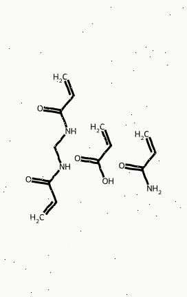 C=CC(=O)NCNC(=O)C=C.C=CC(=O)O.C=CC(N)=O